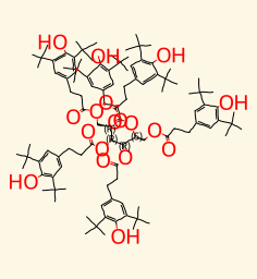 CC(C)(C)c1cc(CCC(=O)OC[C@H](OC(=O)CCc2cc(C(C)(C)C)c(O)c(C(C)(C)C)c2)[C@@H](OC(=O)CCc2cc(C(C)(C)C)c(O)c(C(C)(C)C)c2)[C@H](OC(=O)CCc2cc(C(C)(C)C)c(O)c(C(C)(C)C)c2)[C@@H](COC(=O)CCc2cc(C(C)(C)C)c(O)c(C(C)(C)C)c2)OC(=O)CCc2cc(C(C)(C)C)c(O)c(C(C)(C)C)c2)cc(C(C)(C)C)c1O